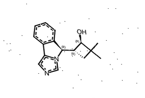 CC1(C)C[C@H]([C@@H]2c3ccccc3-c3cncn32)[C@H]1O